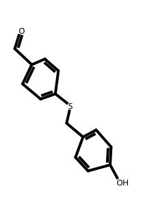 O=Cc1ccc(SCc2ccc(O)cc2)cc1